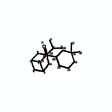 CC(C)N1CC2CC(C1)N2C(=O)C1CCCC(C)(C)C1